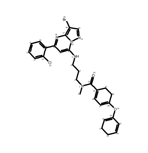 CN(CCCNc1cc(-c2ccccc2Cl)nc2c(Br)cnn12)C(=O)C1=CC=C(OC2=CCCC=C2)CC1